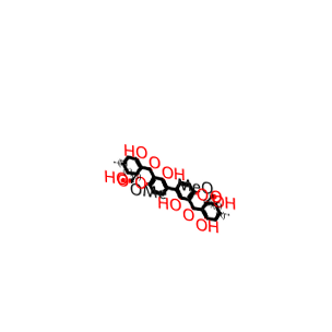 COC(=O)[C@]12Oc3ccc(-c4ccc5c(c4O)C(=O)C4=C(O)C[C@@H](C)[C@H](O)[C@@]4(C(=O)OC)O5)c(O)c3C(=O)C1=C(O)C[C@@H](C)[C@@H]2O